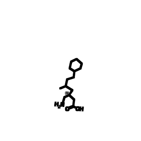 CC(CCC1CCCCC1)C[C@H](CN)CC(=O)O